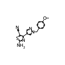 COc1ccc(Cn2cc(-c3nc(N)sc3C#N)cn2)cc1